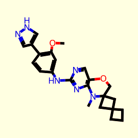 COc1cc(Nc2ncc3c(n2)N(C)C2(CO3)CC3(CCC3)C2)ccc1-c1cn[nH]c1